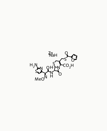 CON=C(C(=O)N[C@@H]1C(=O)N2C(C(=O)O)=C(CSC(=O)c3ccco3)CS[C@H]12)c1csc(N)n1.[NaH].[Zn]